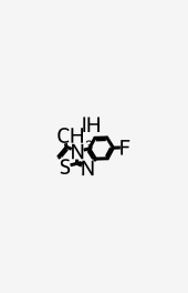 Cc1csc2nc3cc(F)ccc3n12.I